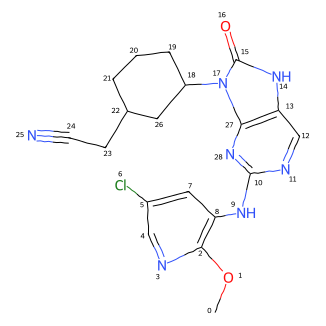 COc1ncc(Cl)cc1Nc1ncc2[nH]c(=O)n(C3CCCC(CC#N)C3)c2n1